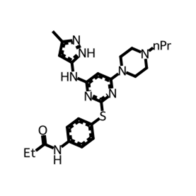 CCCN1CCN(c2cc(Nc3cc(C)n[nH]3)nc(Sc3ccc(NC(=O)CC)cc3)n2)CC1